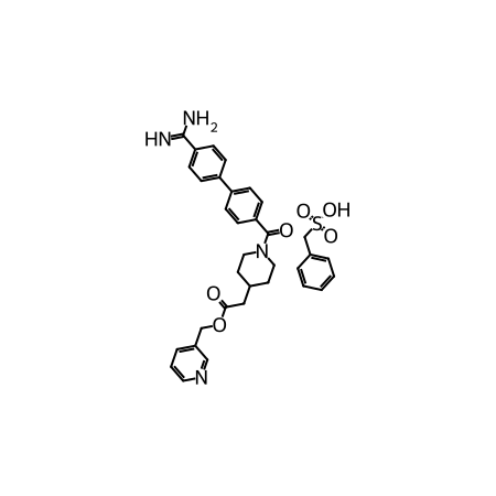 N=C(N)c1ccc(-c2ccc(C(=O)N3CCC(CC(=O)OCc4cccnc4)CC3)cc2)cc1.O=S(=O)(O)Cc1ccccc1